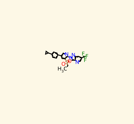 CCS(=O)(=O)c1cc(-c2ccc(C3CC3)cc2)cnc1-n1cc2ncc(C(F)(F)F)cc2n1